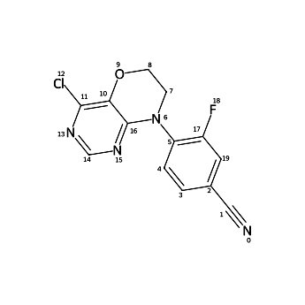 N#Cc1ccc(N2CCOc3c(Cl)ncnc32)c(F)c1